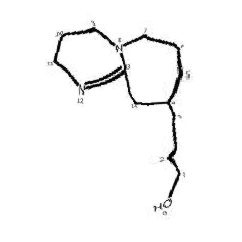 OCCCC1CCCN2CCCN=C2C1